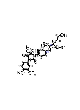 CCC(/N=c1/ccc(N2C(=S)N(c3ccc(C#N)c(C(F)(F)F)c3)C(=O)C2(C)C)cn1C)=C(/C=O)OCCO